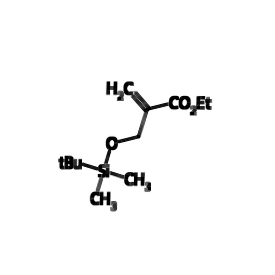 C=C(CO[Si](C)(C)C(C)(C)C)C(=O)OCC